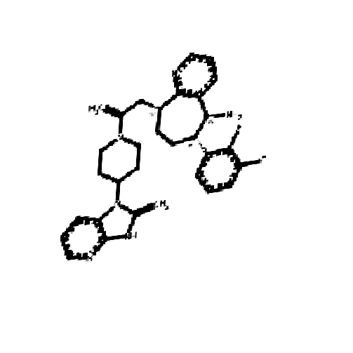 C=C(C[C@@H]1CC[C@@H](c2cccc(F)c2F)[C@H](N)c2cccnc21)N1CCC(N2C(=C)Nc3ncccc32)CC1